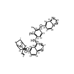 C=CC(=O)N1C2CCC1CC(Oc1ccc3ncnc(Nc4ccc(Oc5ccn6ncnc6c5)c(C)c4F)c3c1)C2